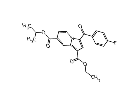 CCOC(=O)c1cc(C(=O)c2ccc(F)cc2)n2ccc(C(=O)OC(C)C)cc12